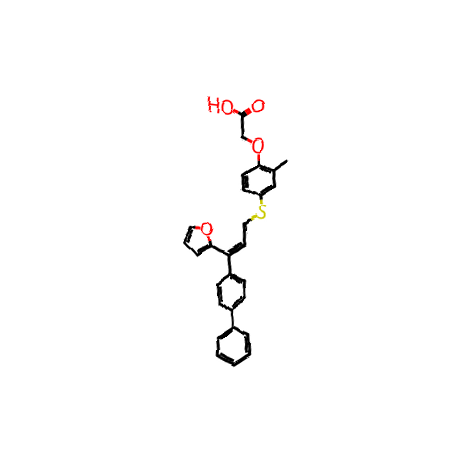 Cc1cc(SCC=C(c2ccc(-c3ccccc3)cc2)c2ccco2)ccc1OCC(=O)O